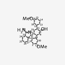 COc1ccc(C2(c3ccc(O)c(-c4cccc(OC)c4)c3)N=C(N)c3ccccc32)cc1